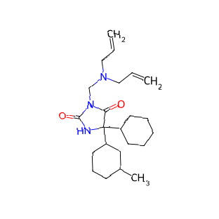 C=CCN(CC=C)CN1C(=O)NC(C2CCCCC2)(C2CCCC(C)C2)C1=O